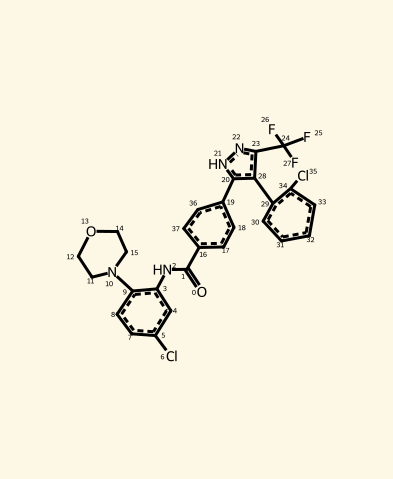 O=C(Nc1cc(Cl)ccc1N1CCOCC1)c1ccc(-c2[nH]nc(C(F)(F)F)c2-c2ccccc2Cl)cc1